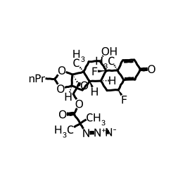 CCCC1O[C@@H]2C[C@H]3[C@@H]4C[C@H](F)C5=CC(=O)C=C[C@]5(C)[C@@]4(F)[C@@H](O)C[C@]3(C)[C@]2(C(=O)COC(=O)C(C)(C)N=[N+]=[N-])O1